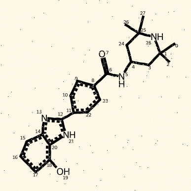 CC1(C)CC(NC(=O)c2ccc(-c3nc4cccc(O)c4[nH]3)cc2)CC(C)(C)N1